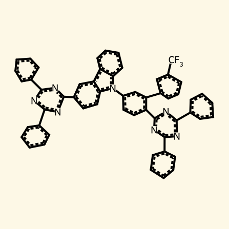 FC(F)(F)c1cccc(-c2cc(-n3c4ccccc4c4cc(-c5nc(-c6ccccc6)nc(-c6ccccc6)n5)ccc43)ccc2-c2nc(-c3ccccc3)nc(-c3ccccc3)n2)c1